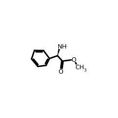 COC(=O)[C@H]([NH])c1ccccc1